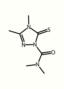 Cc1nn(C(=O)N(C)C)c(=S)n1C